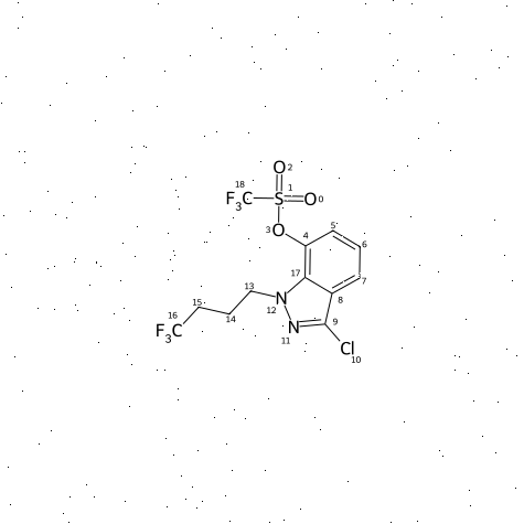 O=S(=O)(Oc1cccc2c(Cl)nn(CCCC(F)(F)F)c12)C(F)(F)F